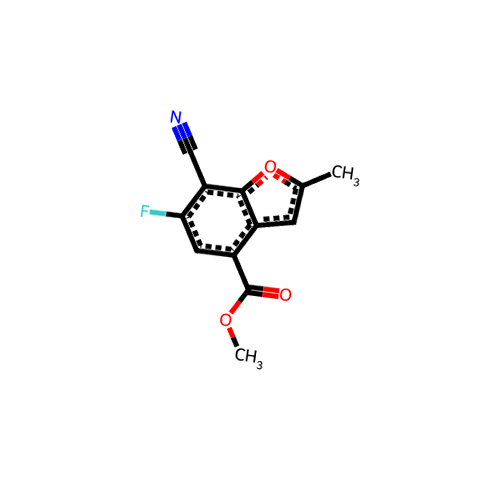 COC(=O)c1cc(F)c(C#N)c2oc(C)cc12